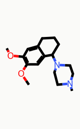 COc1cc2c(cc1OC)C(N1CCN(C)CC1)CCC2